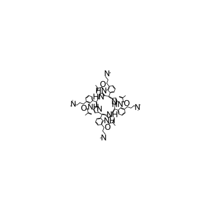 C=C(C)C(=O)Nc1c(CCCN(C)C)cccc1-c1c2nc(c(-c3cccc(CCCN(C)C)c3NC(=O)C(=C)C)c3ccc([nH]3)c(-c3cccc(CCCN(C)C)c3NC(=O)C(=C)C)c3nc(c(-c4cccc(CCCN(C)C)c4NC(=O)C(=C)C)c4ccc1[nH]4)C=C3)C=C2